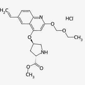 C=Cc1ccc2nc(OCOCC)cc(O[C@H]3CN[C@H](C(=O)OC)C3)c2c1.Cl